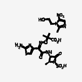 C[C@H]1[C@H](NC(=O)/C(=N\OC(C)(C)C(=O)O)c2csc(N)n2)C(=O)N1S(=O)(=O)O.Cc1ncc([N+](=O)[O-])n1CCO